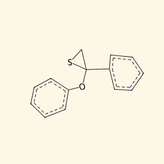 c1ccc(OC2(c3ccccc3)CS2)cc1